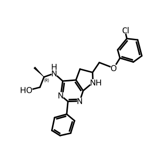 C[C@H](CO)Nc1nc(-c2ccccc2)nc2c1CC(COc1cccc(Cl)c1)N2